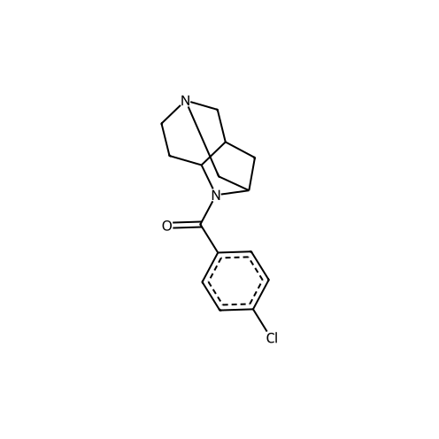 O=C(c1ccc(Cl)cc1)N1C2CC3CN(CCC31)C2